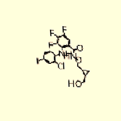 O=C(NOCC1CC1CO)c1cc(F)c(F)c(F)c1Nc1ccc(I)cc1Cl